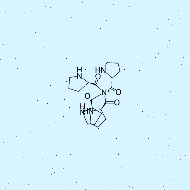 O=C([C@H]1CCCN1)[N+](C(=O)[C@H]1CCCN1)(C(=O)[C@H]1CCCN1)C(=O)[C@H]1CCCN1